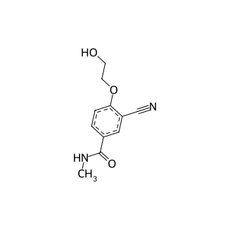 CNC(=O)c1ccc(OCCO)c(C#N)c1